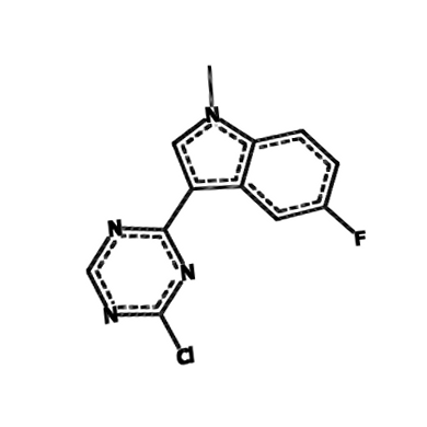 Cn1cc(-c2ncnc(Cl)n2)c2cc(F)ccc21